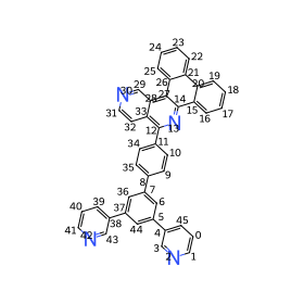 c1cncc(-c2cc(-c3ccc(-c4nc5c6ccccc6c6ccccc6c5c5cnccc45)cc3)cc(-c3cccnc3)c2)c1